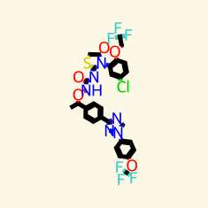 CC(ONC(=O)/N=C1\SCC(=O)N1c1cc(Cl)ccc1OCC(F)(F)F)c1ccc(-c2ncn(-c3ccc(OC(F)(F)F)cc3)n2)cc1